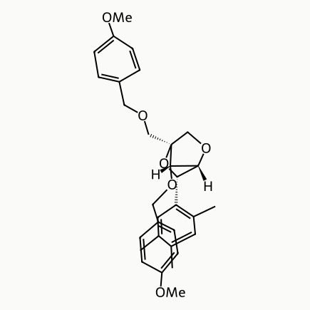 COc1ccc(COC[C@@]23CO[C@H]([C@H](c4cc(C)c(C)cc4C)O2)[C@@H]3OCc2ccc(OC)cc2)cc1